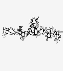 COc1ccc(CN2CCN(C3CC4(CCN(c5cc(Oc6cnc7[nH]ccc7c6)c(C(=O)NS(=O)(=O)c6cc([N+](=O)[O-])c(NC[C@H]7CC[C@](C)(O)CC7)c7c6OCO7)cc5F)CC4)C3)[C@H](c3ccccc3C(C)C)C2)cc1